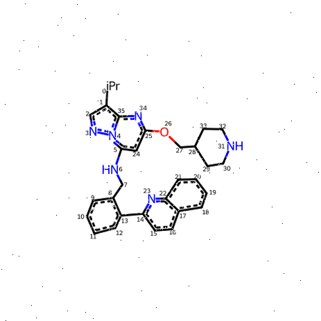 CC(C)c1cnn2c(NCc3ccccc3-c3ccc4ccccc4n3)cc(OCC3CCNCC3)nc12